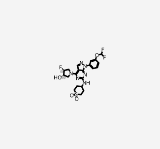 O=S1(=O)CCC(Nc2nc(N3C[C@H](O)[C@@H](F)C3)c3cnn(-c4cccc(OC(F)F)c4)c3n2)CC1